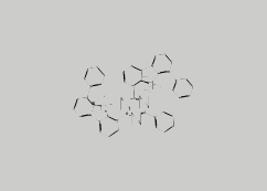 C[Si]1(C)c2c(-c3ccccc3)cccc2-c2cccc(-c3nc(-c4ccccc4)nc(-c4cccc5c4[Si](C)(C)c4c(-c6ccccc6)cccc4-5)n3)c21